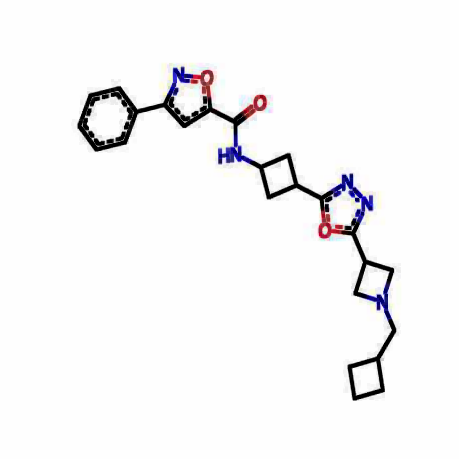 O=C(NC1CC(c2nnc(C3CN(CC4CCC4)C3)o2)C1)c1cc(-c2ccccc2)no1